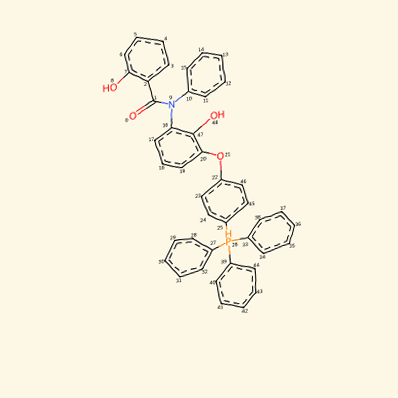 O=C(c1ccccc1O)N(c1ccccc1)c1cccc(Oc2ccc([PH](c3ccccc3)(c3ccccc3)c3ccccc3)cc2)c1O